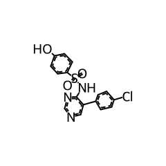 O=S(=O)(Nc1ncncc1-c1ccc(Cl)cc1)c1ccc(O)cc1